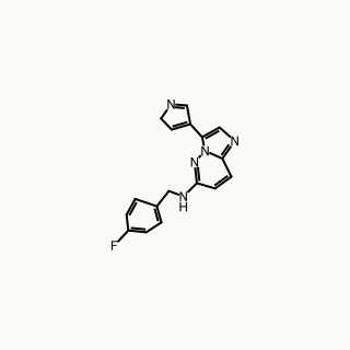 Fc1ccc(CNc2ccc3ncc(C4=CCN=C4)n3n2)cc1